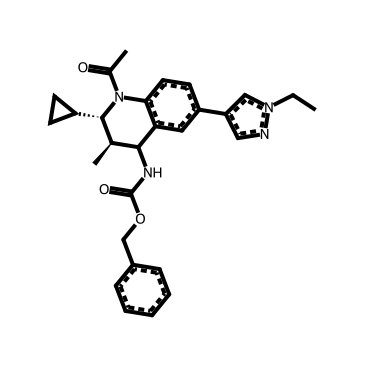 CCn1cc(-c2ccc3c(c2)C(NC(=O)OCc2ccccc2)[C@@H](C)[C@H](C2CC2)N3C(C)=O)cn1